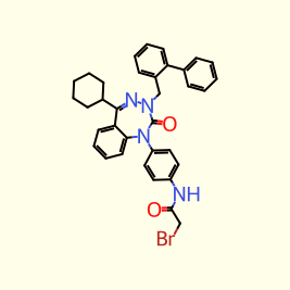 O=C(CBr)Nc1ccc(N2C(=O)N(Cc3ccccc3-c3ccccc3)N=C(C3CCCCC3)c3ccccc32)cc1